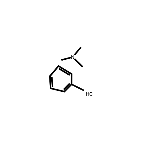 CN(C)C.Cc1ccccc1.Cl